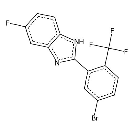 Fc1ccc2[nH]c(-c3cc(Br)ccc3C(F)(F)F)nc2c1